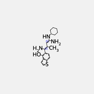 CC(/C=C(\N)NC1CCCCC1)=C(/N)c1ccc2sccc2c1O